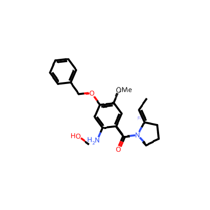 C/C=C1\CCCN1C(=O)c1cc(OC)c(OCc2ccccc2)cc1N.CO